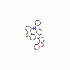 c1ccc2c(c1)oc1cccc(-c3ccc4sc5cccc(-n6c7ccccc7c7ccccc76)c5c4c3)c12